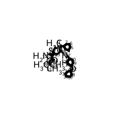 C[C@@H](c1ccccc1)N1Cc2sc(N)c(C(=O)OC(C)(C)C)c2C[C@H]1CNCc1ccc(Oc2ccccc2)cc1